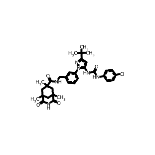 CC1(C(=O)NCc2cccc(-n3nc(C(C)(C)C)cc3NC(=O)Nc3ccc(Cl)cc3)c2)CC2(C)CC(C)(C1)C(=O)NC2=O